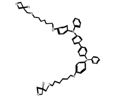 CCC1(COCCCCCCOc2ccc(N(c3ccccc3)c3ccc(-c4ccc(N(c5ccccc5)c5ccc(OCCCCCCOCC6(CC)COC6)cc5)cc4)cc3)cc2)COC1